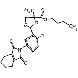 CCCCOC(=O)C1(C)COC(c2cc(N3C(=O)C4=C(CCCC4)C3=O)ccc2Cl)O1